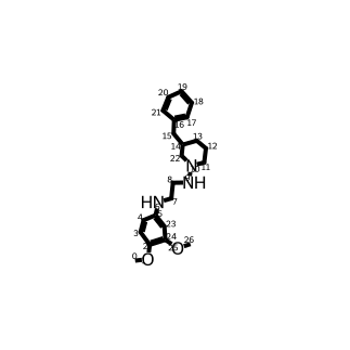 COc1ccc(NCCNN2CCCC(Cc3ccccc3)C2)cc1OC